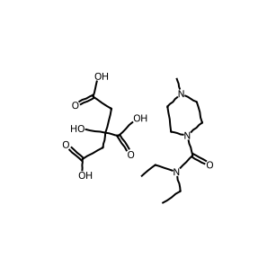 CCN(CC)C(=O)N1CCN(C)CC1.O=C(O)CC(O)(CC(=O)O)C(=O)O